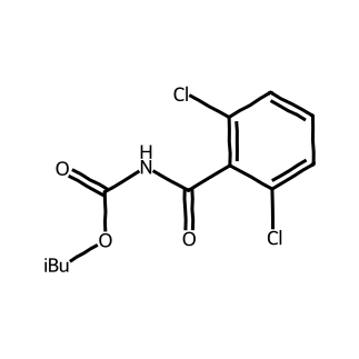 CCC(C)OC(=O)NC(=O)c1c(Cl)cccc1Cl